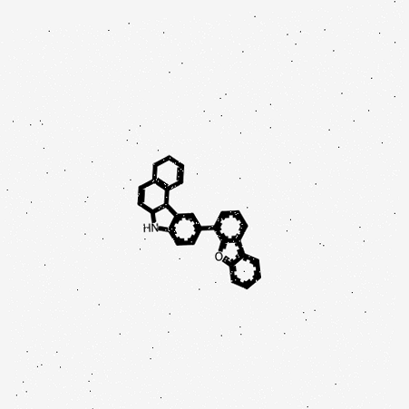 C1=CC2=C(C=CC3Nc4ccc(-c5cccc6c5oc5ccccc56)cc4C23)CC1